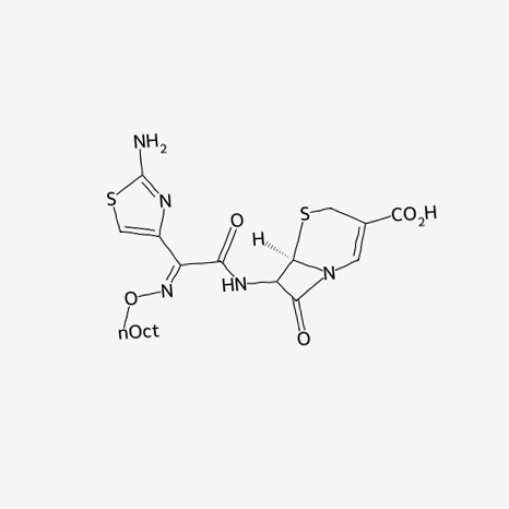 CCCCCCCCON=C(C(=O)NC1C(=O)N2C=C(C(=O)O)CS[C@H]12)c1csc(N)n1